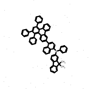 CC1(C)c2ccccc2-c2ccc(N(c3ccccc3)c3ccc(-c4ccc5c(c4)c4ccccc4c4c(-c6ccccc6)cc(-c6ccccc6)c(-c6ccccc6)c54)c4ccccc34)cc21